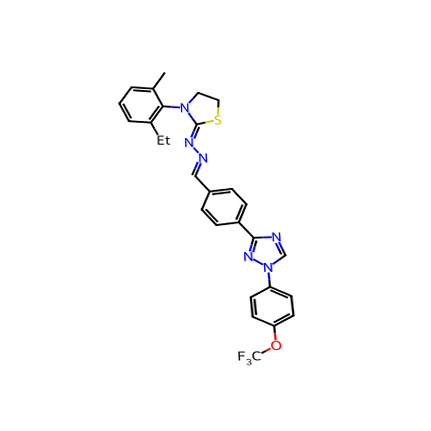 CCc1cccc(C)c1N1CCS/C1=N\N=C\c1ccc(-c2ncn(-c3ccc(OC(F)(F)F)cc3)n2)cc1